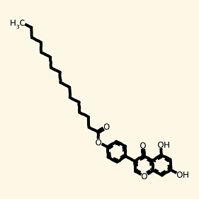 CCCCCCCCCCCCCCCC(=O)Oc1ccc(-c2coc3cc(O)cc(O)c3c2=O)cc1